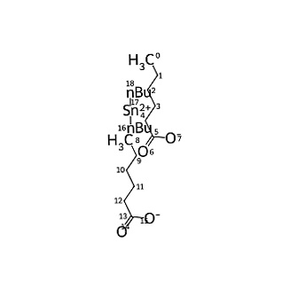 CCCCCC(=O)[O-].CCCCCC(=O)[O-].CCC[CH2][Sn+2][CH2]CCC